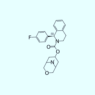 CN1C2COCC1CC(OC(=O)N1CCc3ccccc3[C@@H]1c1ccc(F)cc1)C2